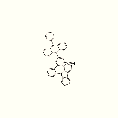 N#Cc1cc(-c2ccccc2-n2c3ccccc3c3ccccc32)cc(-c2c3ccccc3c(-c3ccccc3)c3ccccc23)c1